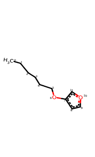 CCCCCCOc1ccoc1